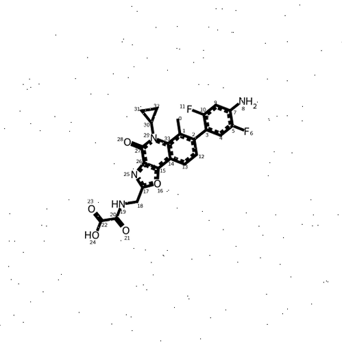 Cc1c(-c2cc(F)c(N)cc2F)ccc2c3oc(CNC(=O)C(=O)O)nc3c(=O)n(C3CC3)c12